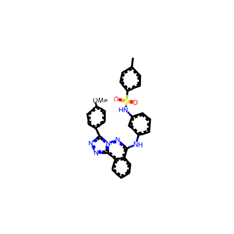 COc1ccc(-c2nnc3c4ccccc4c(Nc4cccc(NS(=O)(=O)c5ccc(C)cc5)c4)nn23)cc1